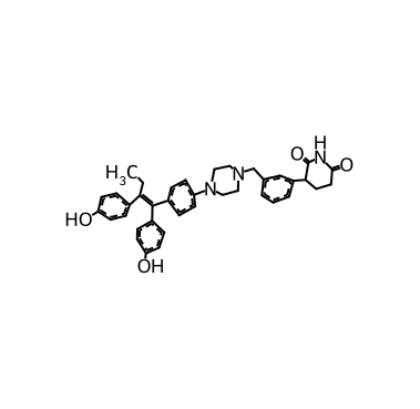 CCC(=C(c1ccc(O)cc1)c1ccc(N2CCN(Cc3cccc(C4CCC(=O)NC4=O)c3)CC2)cc1)c1ccc(O)cc1